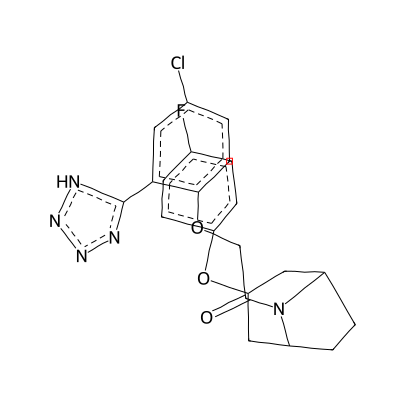 O=C(COc1ccc(Cl)cc1-c1nnn[nH]1)N1C2CCC1CC(Oc1ccc(F)cc1)C2